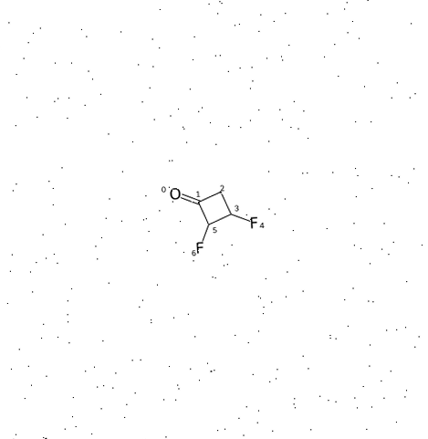 O=C1CC(F)C1F